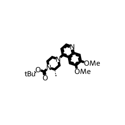 COc1cc2nccc(N3CCN(C(=O)OC(C)(C)C)[C@@H](C)C3)c2cc1OC